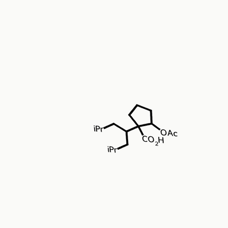 CC(=O)OC1CCCC1(C(=O)O)C(CC(C)C)CC(C)C